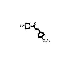 CCN1CCN(C(=O)CCc2ccc(OC)cc2)CC1